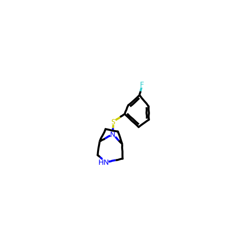 Fc1cccc(SN2C3CCC2CNC3)c1